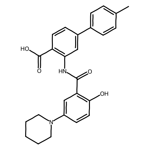 Cc1ccc(-c2ccc(C(=O)O)c(NC(=O)c3cc(N4CCCCC4)ccc3O)c2)cc1